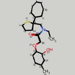 CCN(CC1(C2CCCCCC2)CCCS1)C(=O)COC1CCC(C)C[C@@H]1O